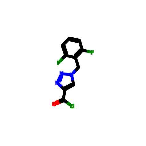 O=C(Cl)c1cn(Cc2c(F)cccc2F)nn1